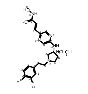 Cl.Cl.O=C(/C=C/c1cnc(N[C@@H]2CCN(CCc3ccc(F)c(F)c3)C2)cn1)NO